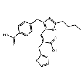 CCCCc1nc(Cc2ccc(C(=O)O)cc2)c(C=C(Cc2cccs2)C(=O)O)[nH]1